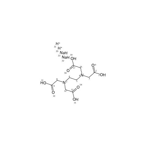 O=C(O)CN(CCN(CC(=O)O)CC(=O)O)CC(=O)O.[H+].[H+].[NaH].[NaH]